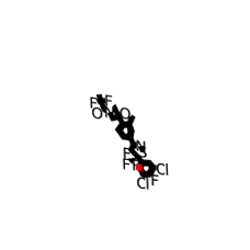 CC(F)(F)C(=O)N1CC2(C1)OCc1cc(C3=NS[C@@](c4cc(Cl)c(F)c(Cl)c4)(C(F)(F)F)C3)ccc12